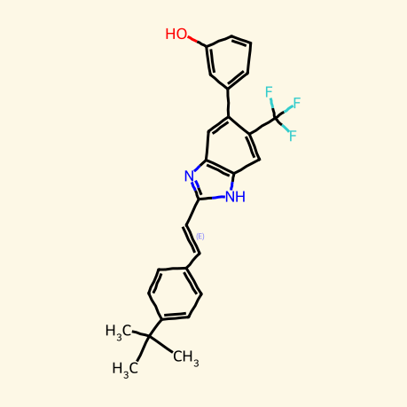 CC(C)(C)c1ccc(/C=C/c2nc3cc(-c4cccc(O)c4)c(C(F)(F)F)cc3[nH]2)cc1